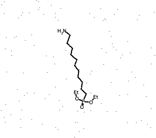 CCOP(=O)(CCCCCCCCCCCN)OCC